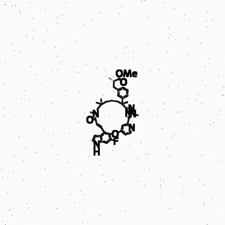 COC(=O)[C@@H](C)Cc1cccc([C@@]2(C)CCCC(C)(C)CN(C)C(=O)/C=C/c3c(c(F)cc4[nH]ccc34)Oc3ccnc(c3)-c3nc2nn3C)c1